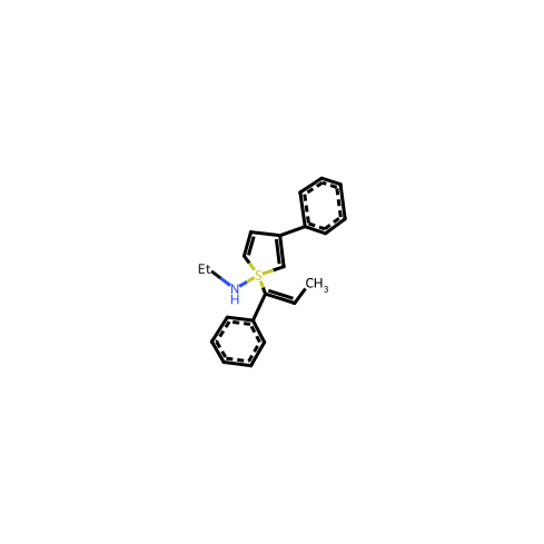 CC=C(c1ccccc1)S1(NCC)C=CC(c2ccccc2)=C1